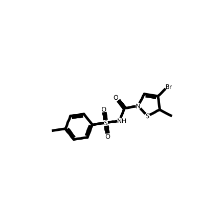 Cc1ccc(S(=O)(=O)NC(=O)N2C=C(Br)C(C)S2)cc1